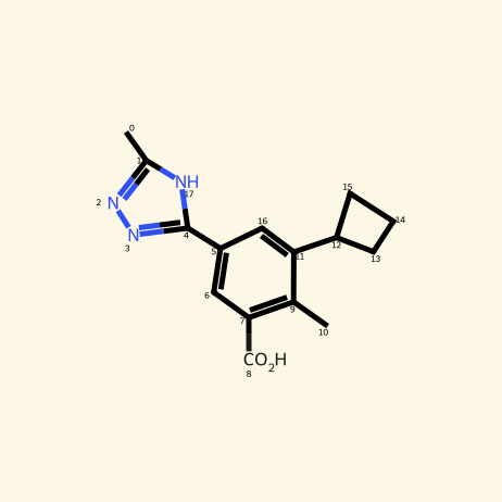 Cc1nnc(-c2cc(C(=O)O)c(C)c(C3CCC3)c2)[nH]1